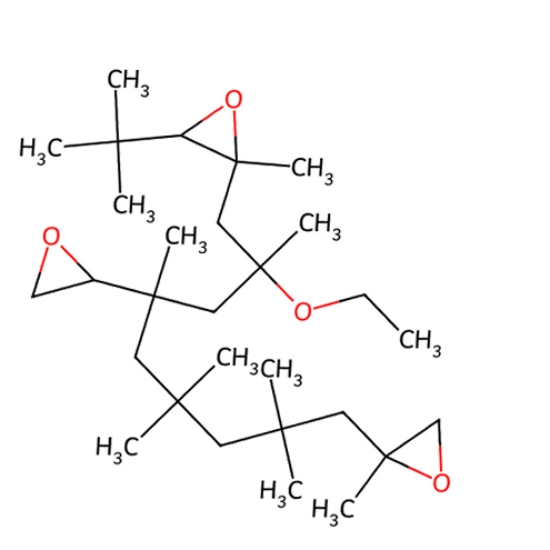 CCOC(C)(CC(C)(CC(C)(C)CC(C)(C)CC1(C)CO1)C1CO1)CC1(C)OC1C(C)(C)C